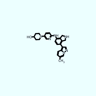 Cc1ccc2c(-c3ccc(Nc4ccc(N5CCC(O)CC5)cn4)c4c3CNC4)cnn2c1